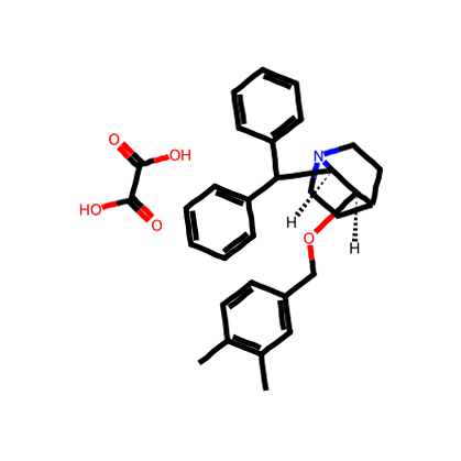 Cc1ccc(CO[C@@H]2C3CCN(CC3)[C@@H]2C(c2ccccc2)c2ccccc2)cc1C.O=C(O)C(=O)O